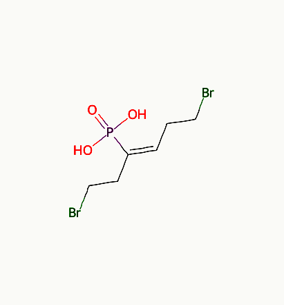 O=P(O)(O)C(=CCCBr)CCBr